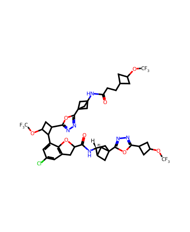 O=C(CCC1CC(OC(F)(F)F)C1)NC12CC(c3nnc(C4CC(OC(F)(F)F)C4c4cc(Cl)cc5c4OC(C(=O)N[C@@H]4CC6(c7nnc(C8CC(OC(F)(F)F)C8)o7)CC4C6)C5)o3)(C1)C2